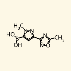 Cc1nc(-c2cc(B(O)O)n(C)n2)no1